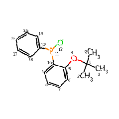 CC(C)(C)Oc1ccccc1P(Cl)c1ccccc1